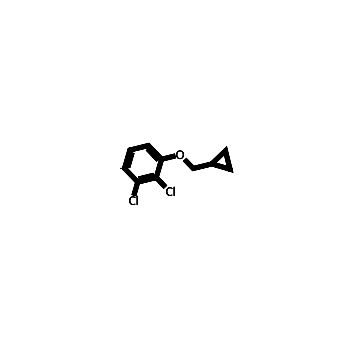 Clc1[c]ccc(OCC2CC2)c1Cl